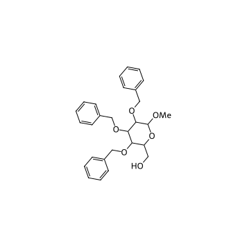 COC1OC(CO)C(OCc2ccccc2)C(OCc2ccccc2)C1OCc1ccccc1